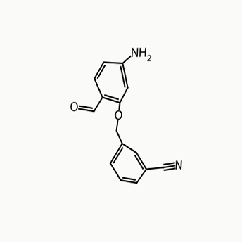 N#Cc1cccc(COc2cc(N)ccc2C=O)c1